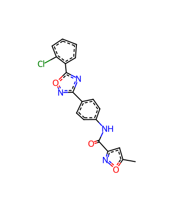 Cc1cc(C(=O)Nc2ccc(-c3noc(-c4ccccc4Cl)n3)cc2)no1